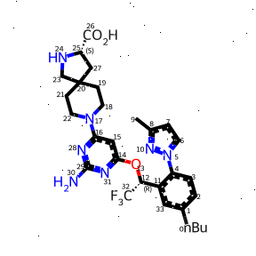 CCCCc1ccc(-n2ccc(C)n2)c([C@@H](Oc2cc(N3CCC4(CC3)CN[C@H](C(=O)O)C4)nc(N)n2)C(F)(F)F)c1